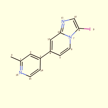 Cc1cc(-c2ccn3c(I)cnc3c2)ccn1